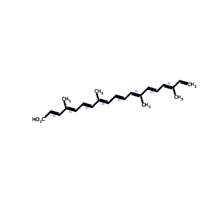 C=C/C(C)=C/C=C/C(C)=C/C=C/C=C(C)/C=C/C=C(C)/C=C/C(=O)O